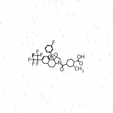 C[C@H]1CC(C(=O)N2CCC3(S(=O)(=O)c4cccc(F)c4)C4=CC=C(C(F)(C(F)(F)F)C(F)(F)F)CC4CCC23)CC[C@H]1C(=O)O